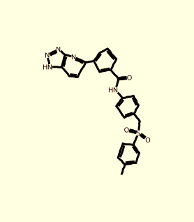 Cc1ccc(S(=O)(=O)Cc2ccc(NC(=O)c3cccc(-c4ccc5[nH]nnc5n4)c3)cc2)cc1